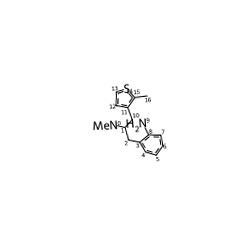 CNC(Cc1ccccc1N)Cc1ccsc1C